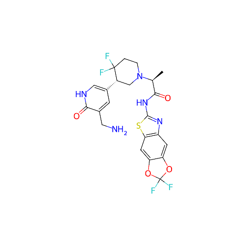 C[C@@H](C(=O)Nc1nc2cc3c(cc2s1)OC(F)(F)O3)N1CCC(F)(F)[C@@H](c2c[nH]c(=O)c(CN)c2)C1